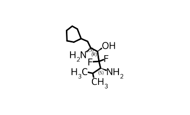 CC(C)[C@H](N)C(F)(F)[C@H](O)[C@@H](N)CC1CCCCC1